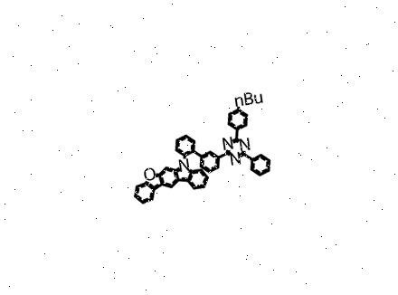 CCCCc1ccc(-c2nc(-c3ccccc3)nc(-c3cccc(-c4ccccc4-n4c5ccccc5c5cc6c(cc54)oc4ccccc46)c3)n2)cc1